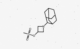 CS(=O)(=O)OC1CN(C2C3CC4CC(C3)CC2C4)C1